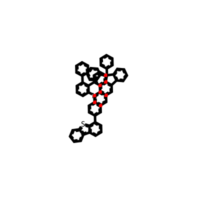 c1ccc(-c2ccccc2-c2c(-c3ccccc3)cccc2N(c2ccc(-c3cccc4c3sc3ccccc34)cc2)c2ccc3c(c2)C(c2ccccc2)(c2ccccc2)c2ccccc2-3)cc1